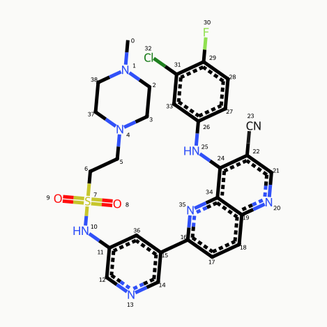 CN1CCN(CCS(=O)(=O)Nc2cncc(-c3ccc4ncc(C#N)c(Nc5ccc(F)c(Cl)c5)c4n3)c2)CC1